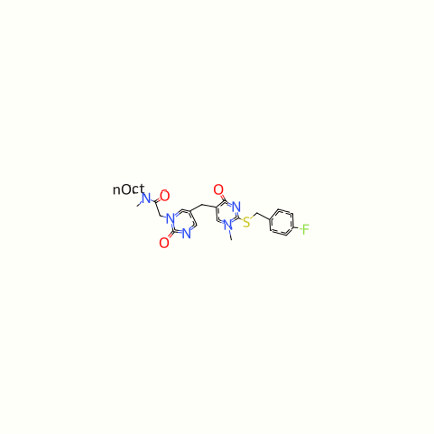 CCCCCCCCN(C)C(=O)Cn1cc(Cc2cn(C)c(SCc3ccc(F)cc3)nc2=O)cnc1=O